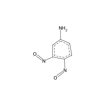 Nc1ccc(N=O)c(N=O)c1